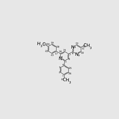 Cc1ccc(-c2cc(-c3ncc(C)cn3)cc(-c3ccc(C)cc3)n2)cc1